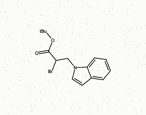 CC(C)(C)OC(=O)C(Br)Cn1ccc2ccccc21